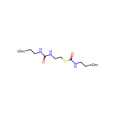 CCCCCCCCCCCCNC(=O)NCCSC(=O)NCCCCCCCCCCCC